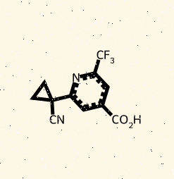 N#CC1(c2cc(C(=O)O)cc(C(F)(F)F)n2)CC1